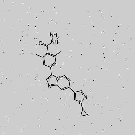 Cc1cc(-c2cnc3cc(-c4cnn(C5CC5)c4)ccn23)cc(C)c1C(=O)NN